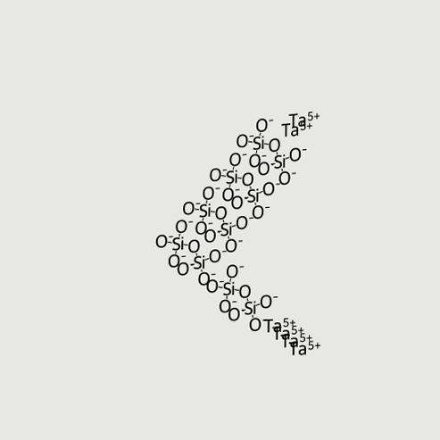 [O-][Si]([O-])([O-])O[Si]([O-])([O-])[O-].[O-][Si]([O-])([O-])O[Si]([O-])([O-])[O-].[O-][Si]([O-])([O-])O[Si]([O-])([O-])[O-].[O-][Si]([O-])([O-])O[Si]([O-])([O-])[O-].[O-][Si]([O-])([O-])O[Si]([O-])([O-])[O-].[Ta+5].[Ta+5].[Ta+5].[Ta+5].[Ta+5].[Ta+5]